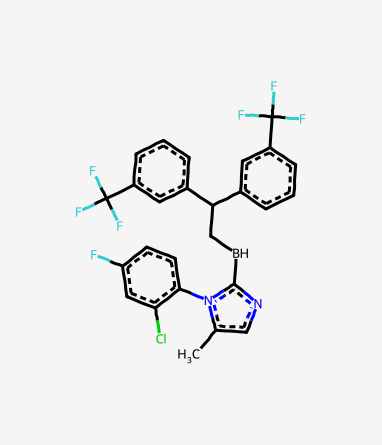 Cc1cnc(BCC(c2cccc(C(F)(F)F)c2)c2cccc(C(F)(F)F)c2)n1-c1ccc(F)cc1Cl